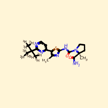 [2H]C([2H])([2H])C(c1nccc(-c2sc(NC(=O)N3CCC[C@@]3(C)C(N)=O)nc2C)n1)(C([2H])([2H])[2H])C([2H])([2H])[2H]